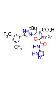 CCC[C@@H](C(=O)C(=O)Nc1ccn[nH]1)N(C(=O)O)C(Cn1cnc(-c2cc(C(F)(F)F)cc(C(F)(F)F)c2)c1)C(C)(C)C